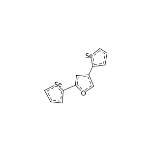 c1c[se]c(-c2coc(-c3ccc[se]3)c2)c1